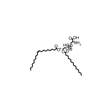 CCCCCCCCC/C=C\CCCCCCCC(=O)OC[C@H](COP(=O)(O)OC[C@H](N)C(=O)O)OC(=O)CCCCCCCCCCCCC